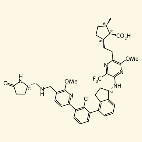 COc1nc(-c2cccc(-c3cccc4c3CC[C@@H]4Nc3nc(OC)c(CC[C@H]4CC[C@@H](C)[C@H]4C(=O)O)nc3C(F)(F)F)c2Cl)ccc1CNC[C@@H]1CCC(=O)N1